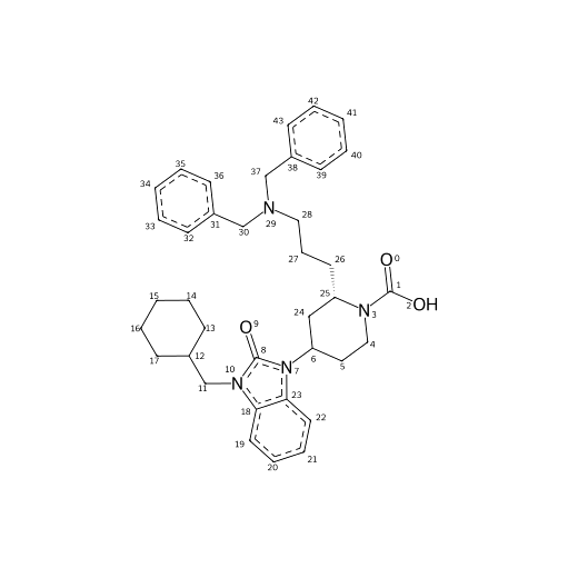 O=C(O)N1CCC(n2c(=O)n(CC3CCCCC3)c3ccccc32)C[C@@H]1CCCN(Cc1ccccc1)Cc1ccccc1